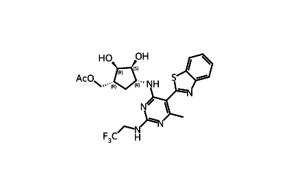 CC(=O)OC[C@H]1C[C@@H](Nc2nc(NCC(F)(F)F)nc(C)c2-c2nc3ccccc3s2)[C@H](O)[C@@H]1O